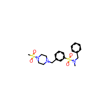 CN(Cc1ccccc1)S(=O)(=O)c1cccc(CN2CCN(S(C)(=O)=O)CC2)c1